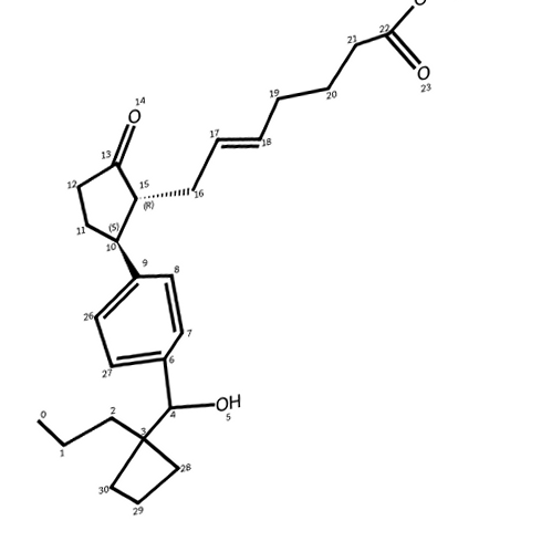 CCCC1(C(O)c2ccc([C@H]3CCC(=O)[C@@H]3CC=CCCCC(=O)OC)cc2)CCC1